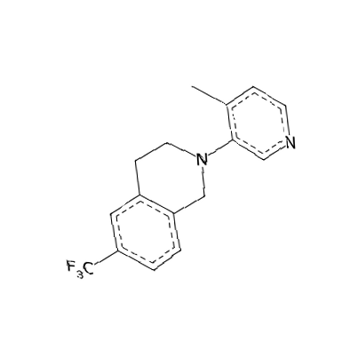 Cc1ccncc1N1CCc2cc(C(F)(F)F)ccc2C1